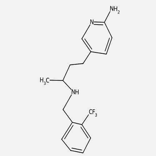 CC(CCc1ccc(N)nc1)NCc1ccccc1C(F)(F)F